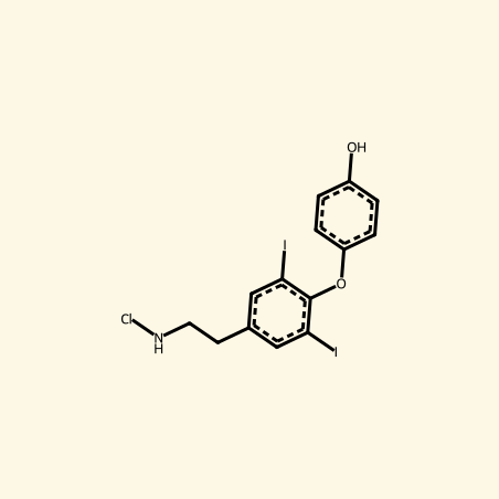 Oc1ccc(Oc2c(I)cc(CCNCl)cc2I)cc1